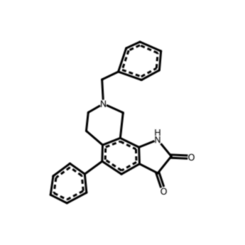 O=C1Nc2c(cc(-c3ccccc3)c3c2CN(Cc2ccccc2)CC3)C1=O